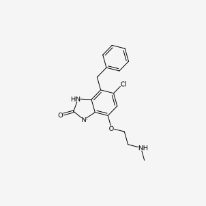 CNCCOc1cc(Cl)c(Cc2ccccc2)c2c1[N]C(=O)N2